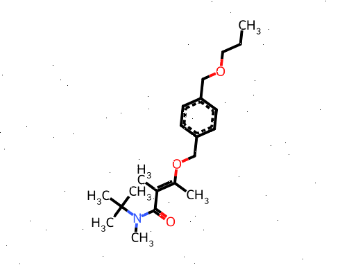 CCCOCc1ccc(CO/C(C)=C(\C)C(=O)N(C)C(C)(C)C)cc1